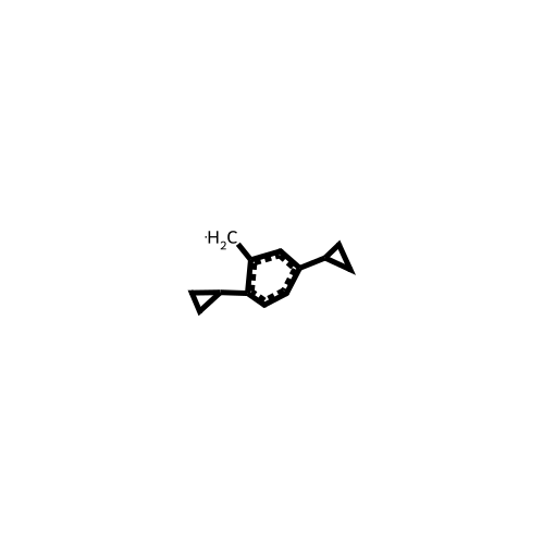 [CH2]c1cc(C2CC2)ccc1C1CC1